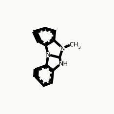 CN1c2ccc#cc2N2c3c#cccc3NC12